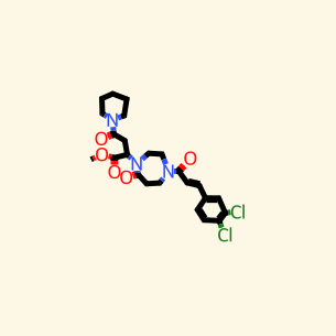 COC(=O)C(CC(=O)N1CCCCC1)N1CCN(C(=O)C=Cc2ccc(Cl)c(Cl)c2)CCC1=O